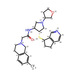 O=C(CN1CCc2ccc(C(F)(F)F)cc2C1)NC1CN(C2CCOC2)C[C@@H]1SC1CCc2ccncc21